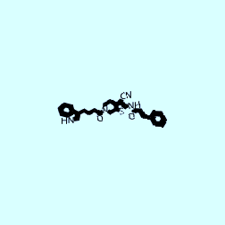 N#Cc1c(NC(=O)C=Cc2ccccc2)sc2c1CCN(C(=O)CCCc1c[nH]c3ccccc13)C2